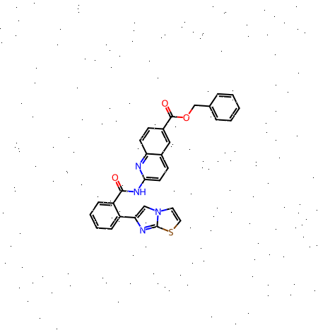 O=C(OCc1ccccc1)c1ccc2nc(NC(=O)c3ccccc3-c3cn4ccsc4n3)ccc2c1